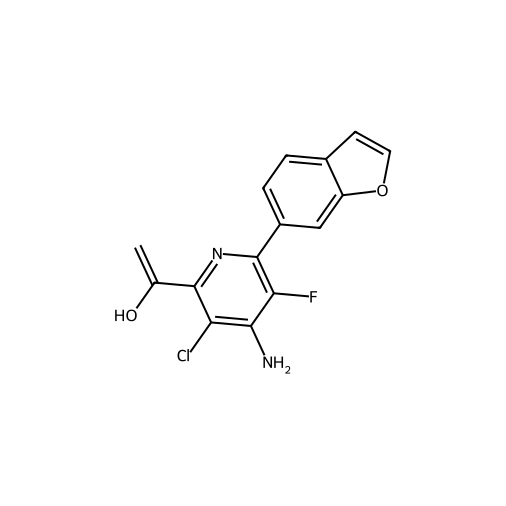 C=C(O)c1nc(-c2ccc3ccoc3c2)c(F)c(N)c1Cl